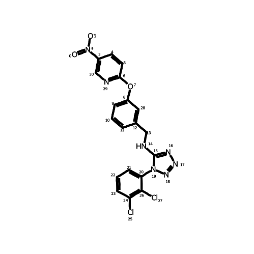 O=[N+]([O-])c1ccc(Oc2cccc(CNc3nnnn3-c3cccc(Cl)c3Cl)c2)nc1